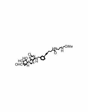 COCNCCNC(=O)CCCC#Cc1cccc(CNc2nc(Cl)nc3c2ncn3[C@@H]2[C@H]3C[C@@]3(C=O)C(O)[C@@H]2O)c1